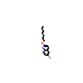 CCCCCCCOc1ccc2cc(Br)ccc2n1